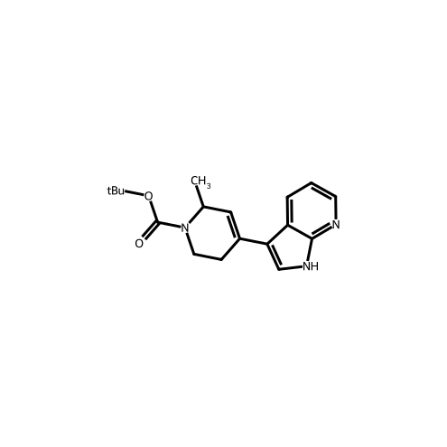 CC1C=C(c2c[nH]c3ncccc23)CCN1C(=O)OC(C)(C)C